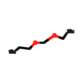 CC(C)(C)CCOCOCC(C)(C)C